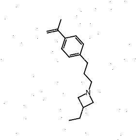 C=C(C)c1ccc(CCCN2CC(CC)C2)cc1